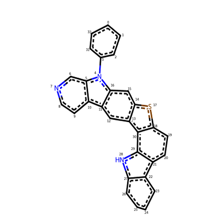 c1ccc(-n2c3cnccc3c3cc4c(cc32)sc2ccc3c5ccccc5[nH]c3c24)cc1